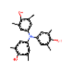 Cc1cc(N(c2cc(C)c(O)c(C)c2)c2cc(C)c(O)c(C)c2)cc(C)c1O